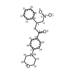 O=C(CC(C[N+](=O)[O-])c1ccccc1)c1ccc(N2CCOCC2)cc1